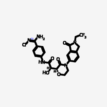 N/C(=N/Cl)c1ccc(NC(=O)[C@H](O)[C@H]2OCCN(c3ccc4c(c3)C(=O)N(CC(F)(F)F)C4)C2=O)cc1